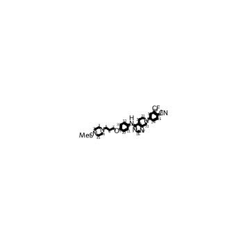 CSN1CCN(CCCOc2ccc(Nc3ncnc4c3CCN(c3ccc(C#N)c(C(F)(F)F)c3)C4)cc2)CC1